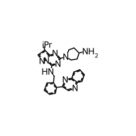 CC(C)c1cnn2c(NCc3ccccc3-c3cnc4ccccc4n3)nc(N3CCC(N)CC3)nc12